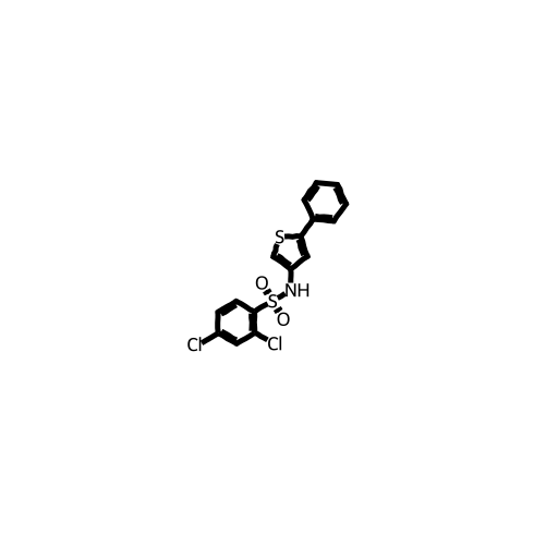 O=S(=O)(Nc1csc(-c2ccccc2)c1)c1ccc(Cl)cc1Cl